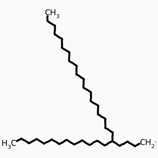 [CH2]CCCC(CCCCCCCCCCCCC)CCCCCCCCCCCCCCCCCCC